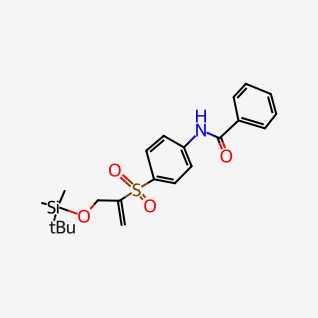 C=C(CO[Si](C)(C)C(C)(C)C)S(=O)(=O)c1ccc(NC(=O)c2ccccc2)cc1